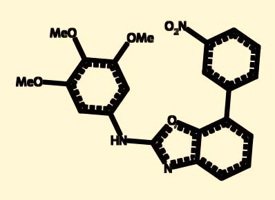 COc1cc(Nc2nc3cccc(-c4cccc([N+](=O)[O-])c4)c3o2)cc(OC)c1OC